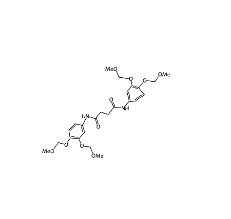 COCOc1ccc(NC(=O)CCC(=O)Nc2ccc(OCOC)c(OCOC)c2)cc1OCOC